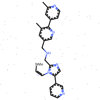 CN/C=C\n1c(-c2cccnc2)cnc1CNCc1cnc(-c2ccnc(C)c2)c(C)c1